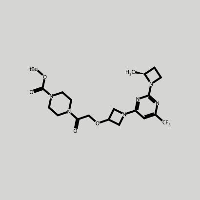 C[C@H]1CCN1c1nc(N2CC(OCC(=O)N3CCN(C(=O)OC(C)(C)C)CC3)C2)cc(C(F)(F)F)n1